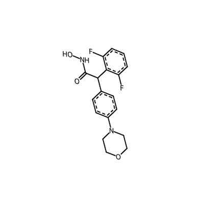 O=C(NO)C(c1ccc(N2CCOCC2)cc1)c1c(F)cccc1F